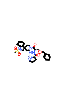 CN1CCC[C@H]1C(=O)N[C@H](COCc1ccccc1)C(=O)N1CCC2(CC1)CN(S(C)(=O)=O)c1ccccc12